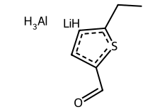 CCc1ccc(C=O)s1.[AlH3].[LiH]